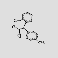 Cc1ccc(C(c2ccccc2Cl)C(Cl)Cl)cc1